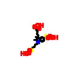 CC1=[N+](CCCCSOOO)c2ccc(SOOO)cc2C1(C)CCCCS(=O)(=O)O